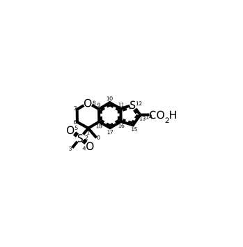 CC1(S(C)(=O)=O)CCOc2cc3sc(C(=O)O)cc3cc21